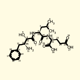 CC(C)C[C@H](NC(=O)[C@@H](O)[C@H](N)Cc1ccccc1)C(=O)N[C@@H](CCC(=O)O)C(=O)O